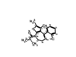 Cc1sc2c(c1C)C(c1ccccc1Cl)=NCCN2C(=O)N(C)C